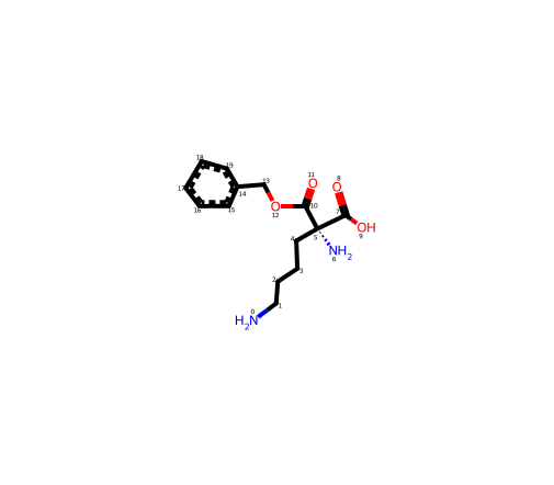 NCCCC[C@](N)(C(=O)O)C(=O)OCc1ccccc1